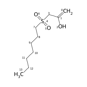 C=C(O)CS(=O)(=O)CCCCCCC